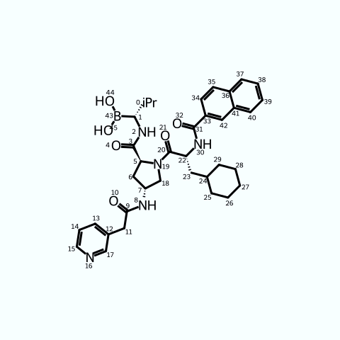 CC(C)[C@H](NC(=O)[C@@H]1C[C@@H](NC(=O)Cc2cccnc2)CN1C(=O)[C@@H](CC1CCCCC1)NC(=O)c1ccc2ccccc2c1)B(O)O